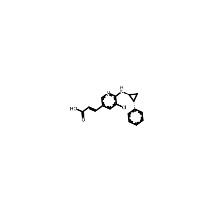 O=C(O)/C=C/c1cnc(N[C@H]2C[C@@H]2c2ccccc2)c(Cl)c1